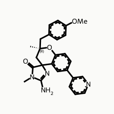 COc1ccc(C[C@]2(C)CC3(N=C(N)N(C)C3=O)c3cc(-c4cccnc4)ccc3O2)cc1